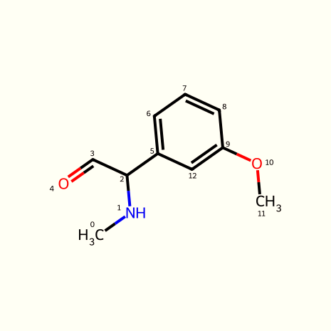 CNC(C=O)c1cccc(OC)c1